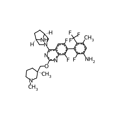 Cc1cc(N)c(F)c(-c2c(F)cc3c(N4C[C@H]5CC[C@@H](C4)N5)nc(OC[C@]4(C)CCCN(C)C4)nc3c2F)c1C(F)(F)F